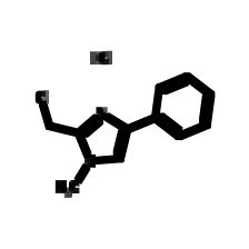 Cl.Cn1cc(-c2ccccc2)nc1CCl